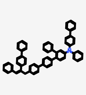 C(=C(\Cc1ccc(-c2ccc(-c3ccc(N(c4ccccc4)c4ccc(-c5ccccc5)cc4)cc3-c3ccccc3)cc2)cc1)c1ccc(-c2ccccc2)cc1)/c1ccccc1